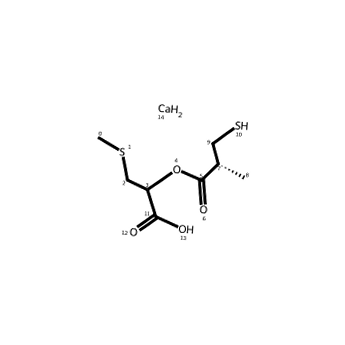 CSCC(OC(=O)[C@@H](C)CS)C(=O)O.[CaH2]